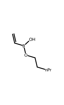 C=CB(O)OCCCCC